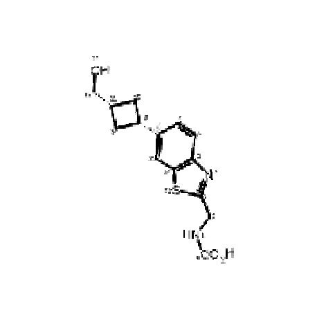 O=C(O)NCc1nc2ccc([C@H]3C[C@@H](CO)C3)cc2s1